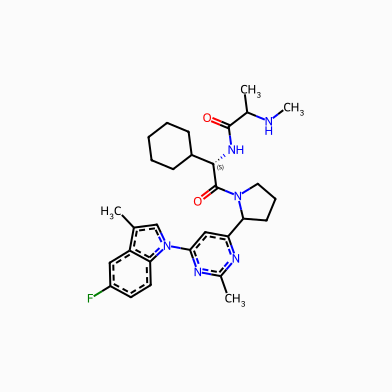 CNC(C)C(=O)N[C@H](C(=O)N1CCCC1c1cc(-n2cc(C)c3cc(F)ccc32)nc(C)n1)C1CCCCC1